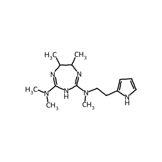 CC1N=C(N(C)C)NC(N(C)CCc2ccc[nH]2)=NC1C